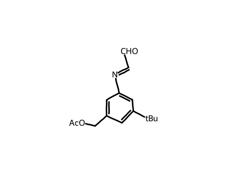 CC(=O)OCc1cc(N=CC=O)cc(C(C)(C)C)c1